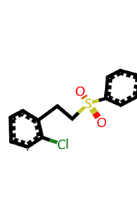 O=S(=O)(CCc1ccc[c]c1Cl)c1ccccc1